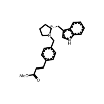 COC(=O)C=Cc1ccc(CN2CCC[C@@H]2Cc2c[nH]c3ccccc23)cc1